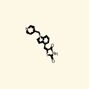 O=C1NC(=O)C(=Cc2cccc3c2ccn3Cc2ccncc2)S1